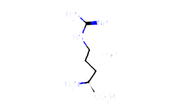 N=C(N)NCCC[C@H](N)C(=O)O.[Cl-].[K+]